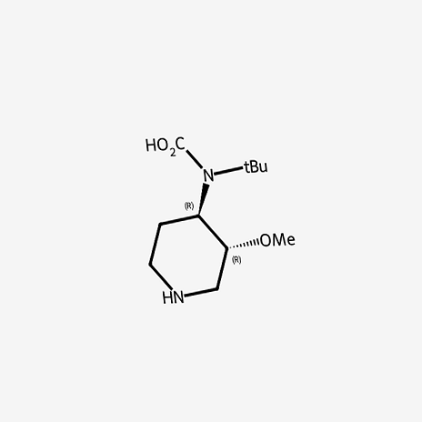 CO[C@@H]1CNCC[C@H]1N(C(=O)O)C(C)(C)C